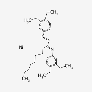 CCCCCCCCC(/C=N/c1ccc(CC)c(CC)c1)=N\c1ccc(CC)c(CC)c1.[Ni]